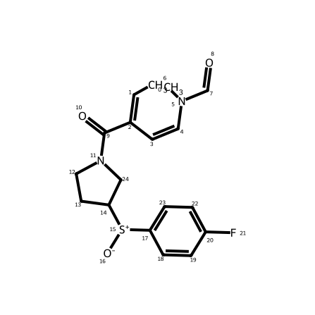 C/C=C(\C=C/N(C)C=O)C(=O)N1CCC([S+]([O-])c2ccc(F)cc2)C1